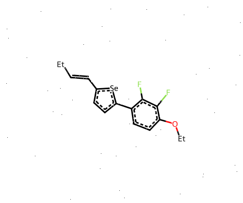 CC/C=C/c1ccc(-c2ccc(OCC)c(F)c2F)[se]1